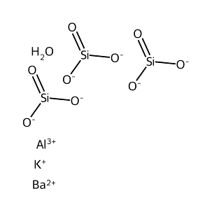 O.O=[Si]([O-])[O-].O=[Si]([O-])[O-].O=[Si]([O-])[O-].[Al+3].[Ba+2].[K+]